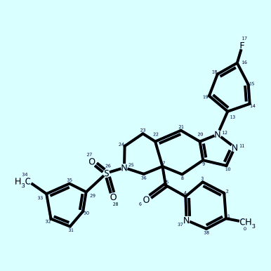 Cc1ccc(C(=O)C23Cc4cnn(-c5ccc(F)cc5)c4C=C2CCN(S(=O)(=O)c2cccc(C)c2)C3)nc1